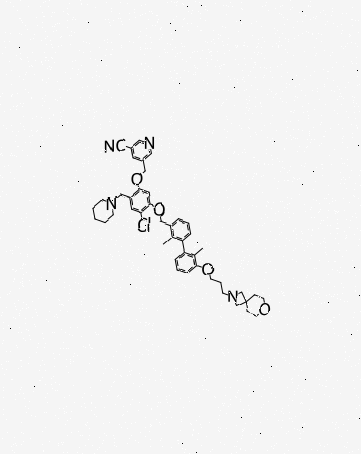 Cc1c(COc2cc(OCc3cncc(C#N)c3)c(CN3CCCCC3)cc2Cl)cccc1-c1cccc(OCCCN2CC3(CCOCC3)C2)c1C